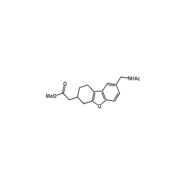 COC(=O)CC1CCc2c(oc3ccc(CNC(C)=O)cc23)C1